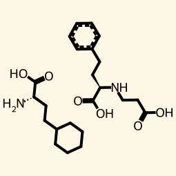 N[C@@H](CCC1CCCCC1)C(=O)O.O=C(O)CCN[C@H](CCc1ccccc1)C(=O)O